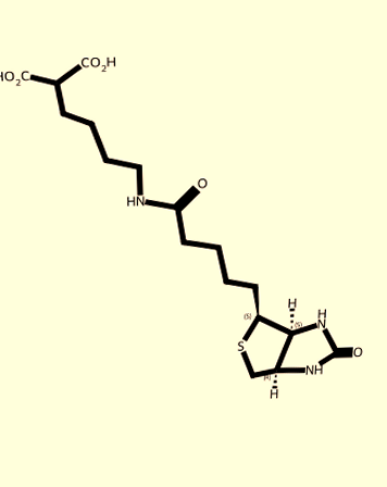 O=C(CCCC[C@@H]1SC[C@@H]2NC(=O)N[C@@H]21)NCCCCC(C(=O)O)C(=O)O